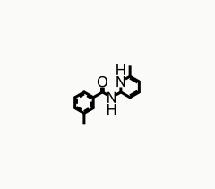 CC1=CC=CC(NC(=O)c2cccc(C)c2)N1